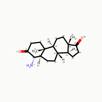 C[C@]12CCC(=O)[C@@H](N)[C@@H]1CC[C@@H]1[C@@H]2CC[C@]2(C)C(=O)CC[C@@H]12